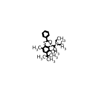 CCN(CC)C(=O)Sc1c(C)c(C(C)(C)C)cc(C)c1SC(=O)c1ccccc1